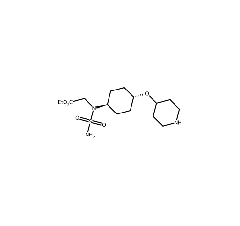 CCOC(=O)CN([C@H]1CC[C@H](OC2CCNCC2)CC1)S(N)(=O)=O